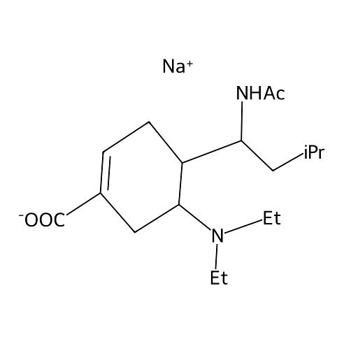 CCN(CC)C1CC(C(=O)[O-])=CCC1C(CC(C)C)NC(C)=O.[Na+]